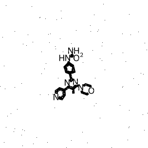 Cc1c(-c2ccncc2)nc(-c2ccc(NC(N)=O)cc2)nc1N1CCOCC1